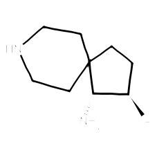 N[C@H]1[C@H](F)CCC12CCNCC2